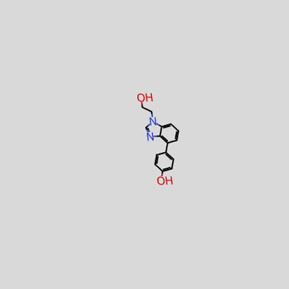 OCCn1cnc2c(-c3ccc(O)cc3)cccc21